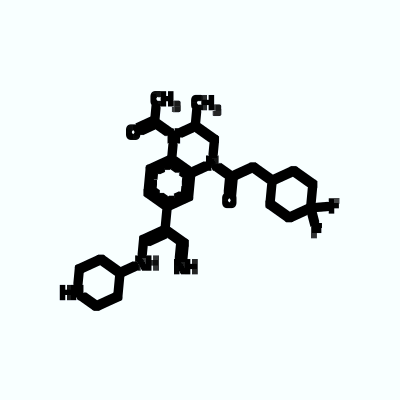 CC(=O)N1c2ccc(/C(C=N)=C/NC3CCNCC3)cc2N(C(=O)CC2CCC(F)(F)CC2)CC1C